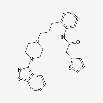 O=C(Cc1cccs1)Nc1ccccc1CCCN1CCN(c2nsc3ccccc23)CC1